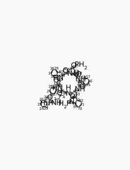 O=C1N[C@H](CCCCNP)C(=O)N[C@H](Cc2ccc(OCc3ccccc3)cc2)C(=O)N[C@H](Cc2ccccc2)C(=O)N2CC(OP)C[C@H]2C(=O)N[C@H](c2ccccc2)C(=O)NC1Cc1cn(P)c2ccccc12